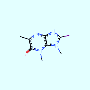 Cc1nc2nc(I)n(C)c2n(C)c1=O